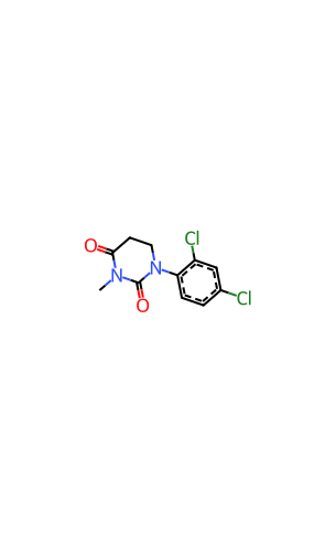 CN1C(=O)CCN(c2ccc(Cl)cc2Cl)C1=O